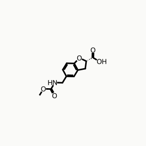 COC(=O)NCc1ccc2c(c1)C[C@@H](C(=O)O)O2